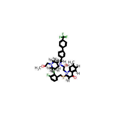 [2H]c1c(C)c([2H])c2c(c1[2H])c(=O)c([2H])c(SCc1cccc(F)c1F)n2CC(=O)N(C([2H])([2H])c1ccc(-c2ccc(C(F)(F)F)cc2)cc1)C1([2H])C([2H])([2H])C([2H])([2H])N(CCOC)C([2H])([2H])C1([2H])[2H]